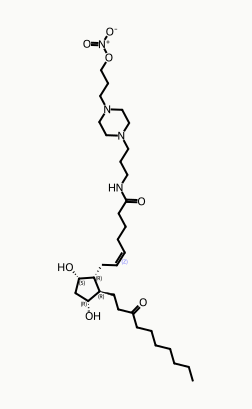 CCCCCCCC(=O)CC[C@@H]1[C@@H](C/C=C\CCCC(=O)NCCCN2CCN(CCCO[N+](=O)[O-])CC2)[C@@H](O)C[C@H]1O